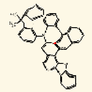 CC1(C)c2ccccc2-c2c(N(c3ccc4c(ccc5c6ccccc6sc45)c3)c3ccccc3-c3cccc4ccccc34)cccc21